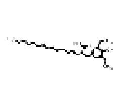 CCCCCCCCCCCCCCC(Cc1cc(CC)c(O)c(CC)c1)C(=O)O